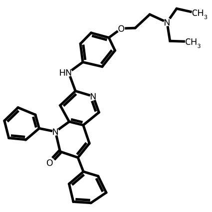 CCN(CC)CCOc1ccc(Nc2cc3c(cn2)cc(-c2ccccc2)c(=O)n3-c2ccccc2)cc1